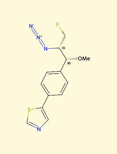 CO[C@H](c1ccc(-c2cncs2)cc1)[C@@H](CF)N=[N+]=[N-]